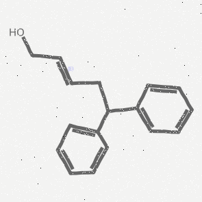 OC/C=C/CC(c1ccccc1)c1ccccc1